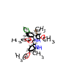 COc1cc(NC(C(=O)c2c[nH]c3c(C)c(OC)ccc23)c2ccc(Cl)cc2OC)cc(SC)c1